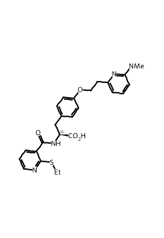 CCSc1ncccc1C(=O)N[C@@H](Cc1ccc(OCCc2cccc(NC)n2)cc1)C(=O)O